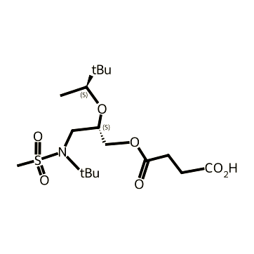 C[C@H](O[C@H](COC(=O)CCC(=O)O)CN(C(C)(C)C)S(C)(=O)=O)C(C)(C)C